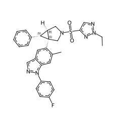 CCn1ncc(S(=O)(=O)N2C[C@@H]3[C@@H](c4ccccc4)[C@]3(c3cc4cnn(-c5ccc(F)cc5)c4cc3C)C2)n1